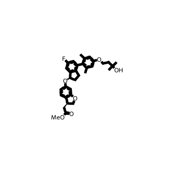 COC(=O)C[C@@H]1COc2cc(O[C@@H]3CCc4c(-c5c(C)cc(OCCC(C)(C)O)cc5C)cc(F)cc43)ccc21